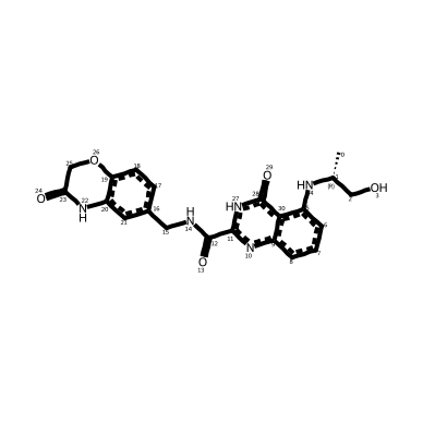 C[C@H](CO)Nc1cccc2nc(C(=O)NCc3ccc4c(c3)NC(=O)CO4)[nH]c(=O)c12